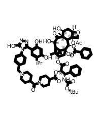 CC(=O)O[C@@]12CO[C@@H]1C[C@H](O)[C@@]1(C)C(=O)[C@H](O)C3=C(C)[C@@H](OC(=O)[C@H](OC(=O)C4CCN(C(=O)C5CCN(Cc6ccc(-n7c(O)nnc7-c7cc(C(C)C)c(O)cc7O)cc6)CC5)CC4)[C@@H](NC(=O)OC(C)(C)C)c4ccccc4)C[C@@](O)([C@@H](OC(=O)c4ccccc4)C12)C3(C)C